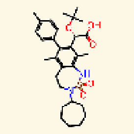 Cc1ccc(-c2c(C)c3c(c(C)c2[C@H](OC(C)(C)C)C(=O)O)NS(=O)(=O)N(C2CCCCCC2)CC3)cc1